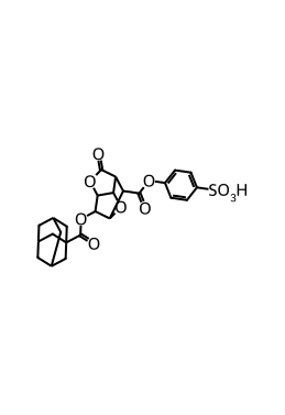 O=C1OC2C(OC(=O)C34CC5CC(CC(C5)C3)C4)C3OC2C1C3C(=O)Oc1ccc(S(=O)(=O)O)cc1